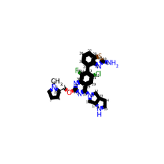 CN1CCC[C@H]1COc1nc(N2CC3CCNC3C2)c2cc(Cl)c(-c3cccc4sc(N)nc34)c(F)c2n1